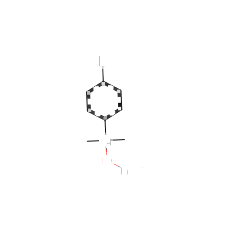 CCCO[Si](C)(C)c1ccc(CC)cc1